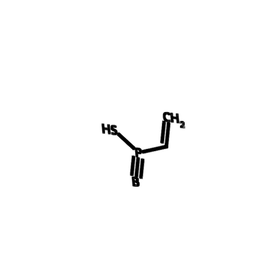 B#P(S)C=C